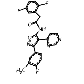 Cc1cc(-c2noc(NC(=O)Cc3cc(F)ccc3F)c2-c2ccncn2)ccc1F